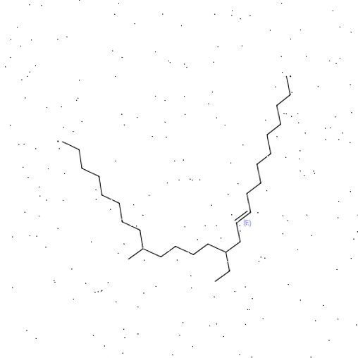 [CH2]CCCCCCCC/C=C/CC(CC)CCCCC(C)CCCCCCC[CH2]